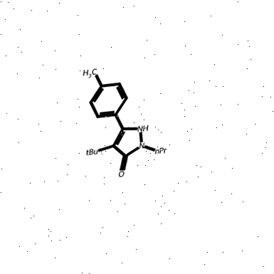 CCCn1[nH]c(-c2ccc(C)cc2)c(C(C)(C)C)c1=O